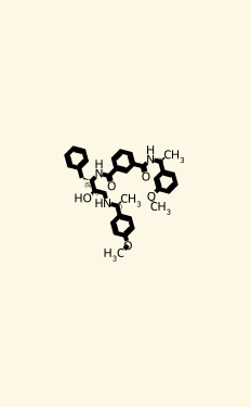 COc1ccc([C@@H](C)NC[C@@H](O)[C@H](Cc2ccccc2)NC(=O)c2cccc(C(=O)N[C@H](C)c3cccc(OC)c3)c2)cc1